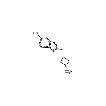 O=C(O)N1CC(Cn2cc3cc(O)ccc3n2)C1